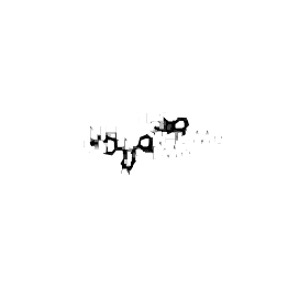 COc1cc(C2=NC(C3CCN(C(N)=O)CC3)=C3C=NC=C[N+]23C)ccc1NC(=O)c1cc2c(OC)cccc2n1C